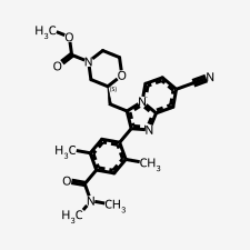 COC(=O)N1CCO[C@@H](Cc2c(-c3cc(C)c(C(=O)N(C)C)cc3C)nc3cc(C#N)ccn23)C1